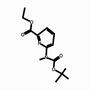 CCOC(=O)c1cccc(N(C)C(=O)OC(C)(C)C)n1